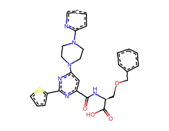 O=C(N[C@@H](COCc1ccccc1)C(=O)O)c1cc(N2CCN(c3ccccn3)CC2)nc(-c2cccs2)n1